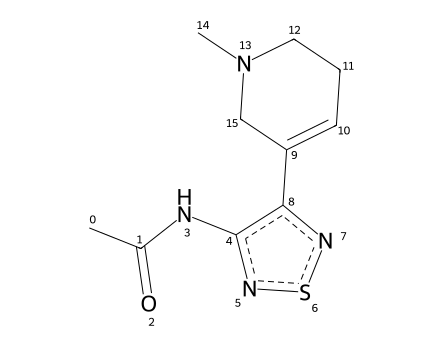 CC(=O)Nc1nsnc1C1=CCCN(C)C1